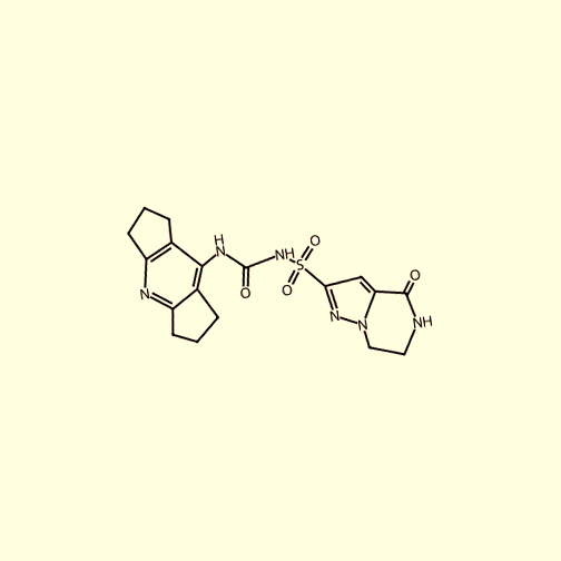 O=C(Nc1c2c(nc3c1CCC3)CCC2)NS(=O)(=O)c1cc2n(n1)CCNC2=O